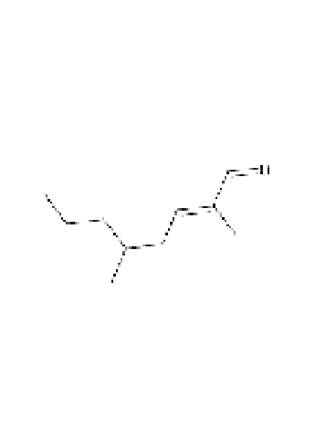 CCCC(C)C/C=C(\C)C=O